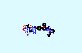 COC[C@H]1C[C@@H](c2ncc(-c3ccc(-c4ccc(-c5cnc([C@@H]6CC[C@H](C)N6C(=O)CC(C)C)[nH]5)c5c4C4CCC5C4)cc3)[nH]2)N(C(=O)[C@@H](NC(=O)OC)C(C)C)C1